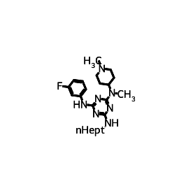 CCCCCCCNc1nc(Nc2cccc(F)c2)nc(N(C)C2CCN(C)CC2)n1